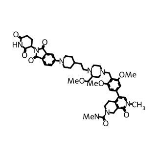 CNC(=O)N1CCc2c(-c3cc(OC)c(CN4CCN(CCC5CCN(c6ccc7c(c6)C(=O)N(C6CCC(=O)NC6=O)C7=O)CC5)C(COC)C4)c(OC)c3)cn(C)c(=O)c2C1